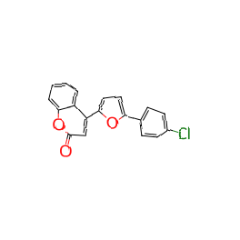 O=c1cc(-c2ccc(-c3ccc(Cl)cc3)o2)c2ccccc2o1